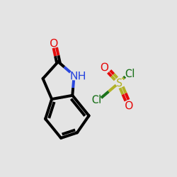 O=C1Cc2ccccc2N1.O=S(=O)(Cl)Cl